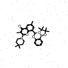 Cc1cc(C(C)Oc2ccccc2B2OC(C)(C)C(C)(C)O2)c2oc(N3CCC(C)(C)CC3)c(C)c(=O)c2c1